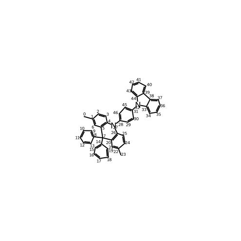 Cc1ccc2c(c1)C(c1ccccc1)(c1ccccc1)c1cc(C)ccc1N2c1ccc(-n2c3ccccc3c3ccccc32)cc1